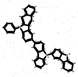 c1ccc(-n2c3ccc(-c4ccc5c(c4)c4ccccc4n5-c4ccc5sc6ccccc6c5c4)cc3c3cc4ccccc4cc32)cc1